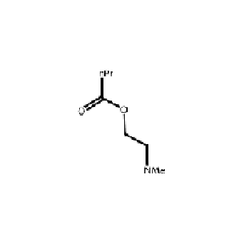 CCCC(=O)OCCNC